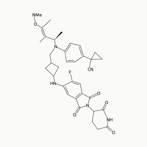 CNO/C(C)=C(\C)[C@@H](C)N(CC1CC(Nc2cc3c(cc2F)C(=O)N(C2CCC(=O)NC2=O)C3=O)C1)c1ccc(C2(C#N)CC2)cc1